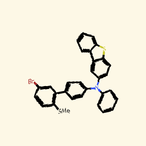 CSc1ccc(Br)cc1-c1ccc(N(c2ccccc2)c2ccc3sc4ccccc4c3c2)cc1